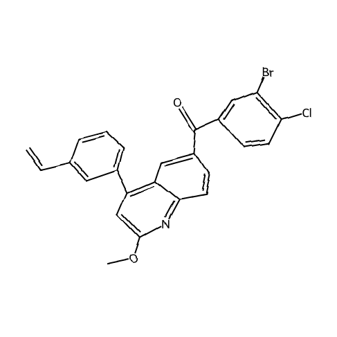 C=Cc1cccc(-c2cc(OC)nc3ccc(C(=O)c4ccc(Cl)c(Br)c4)cc23)c1